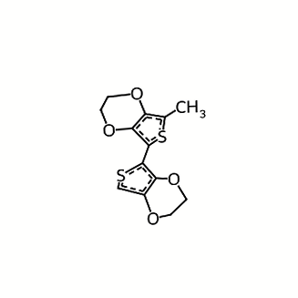 Cc1sc(-c2scc3c2OCCO3)c2c1OCCO2